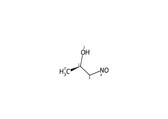 C[C@@H](O)CN=O